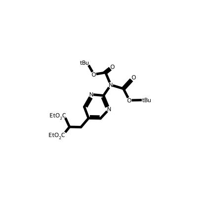 CCOC(=O)C(Cc1cnc(N(C(=O)OC(C)(C)C)C(=O)OC(C)(C)C)nc1)C(=O)OCC